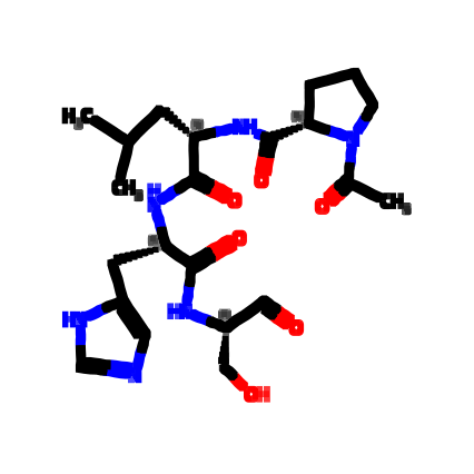 CC(=O)N1CCC[C@H]1C(=O)N[C@@H](CC(C)C)C(=O)N[C@@H](Cc1cnc[nH]1)C(=O)N[C@H](C=O)CO